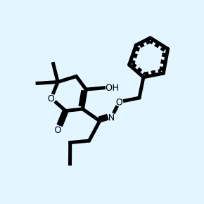 CCCC(=NOCc1ccccc1)C1=C(O)CC(C)(C)OC1=O